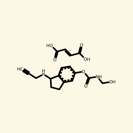 C#CCNC1CCc2cc(OC(=O)NCO)ccc21.O=C(O)/C=C/C(=O)O